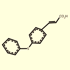 O=C(O)C=Cc1ccc(Sc2ccccc2)cc1